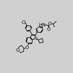 CC(C)OC(=O)Nc1ccc(-c2c(-c3ccc(Cl)cc3)c3ccc(OC4CCOCC4)cc3n2C2CCC2)cc1